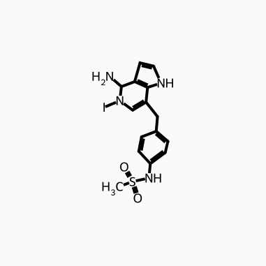 CS(=O)(=O)Nc1ccc(CC2=CN(I)C(N)c3cc[nH]c32)cc1